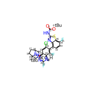 CC(C)(C)OC(=O)Nc1nc2c(-c3c(Cl)cc4c(N5C6CCC5(C(C)(C)C)CN(C(=O)O)C6)nc(F)nc4c3F)ccc(F)c2s1